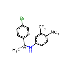 C[C@@H](Nc1ccc([N+](=O)[O-])c(C(F)(F)F)c1)c1ccc(Br)cc1